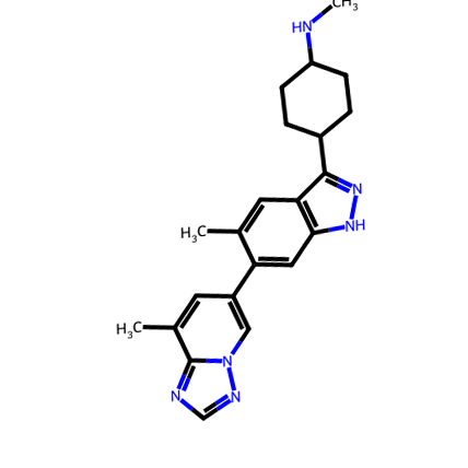 CNC1CCC(c2n[nH]c3cc(-c4cc(C)c5ncnn5c4)c(C)cc23)CC1